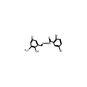 Cc1cc(Cl)cc(/C=N/NC(=O)c2cc(Br)ccc2Br)c1O